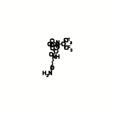 Cc1ccccc1-c1nc(-c2cc(C(F)(F)F)cc(C(F)(F)F)c2)n(CC2=C=C=C(C(=O)NCCCCCOCCN)C=C2)c1-c1ccccc1Cl